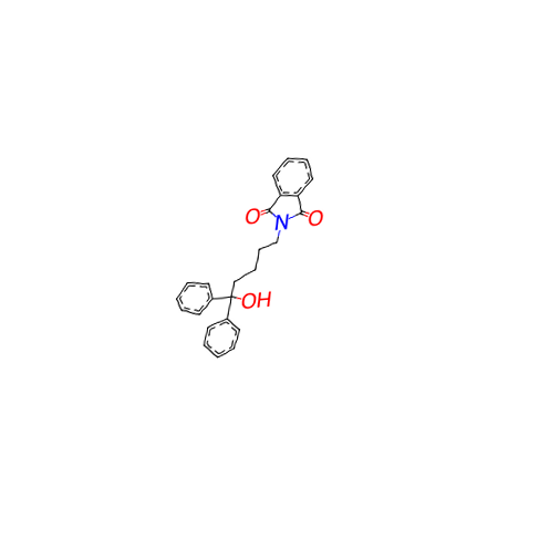 O=C1c2ccccc2C(=O)N1CCCCC(O)(c1ccccc1)c1ccccc1